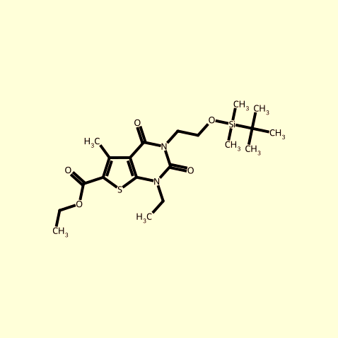 CCOC(=O)c1sc2c(c1C)c(=O)n(CCO[Si](C)(C)C(C)(C)C)c(=O)n2CC